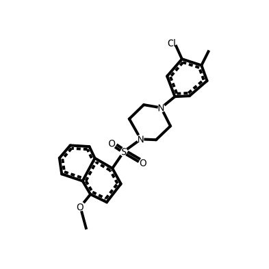 COc1ccc(S(=O)(=O)N2CCN(c3ccc(C)c(Cl)c3)CC2)c2ccccc12